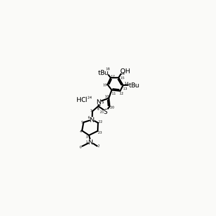 CN(C)C1CCN(Cc2nc(-c3cc(C(C)(C)C)c(O)c(C(C)(C)C)c3)cs2)CC1.Cl